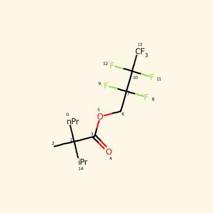 CCCC(C)(C(=O)OCC(F)(F)C(F)(F)C(F)(F)F)C(C)C